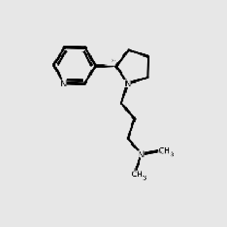 CN(C)CCCN1CCC[C@@H]1c1cccnc1